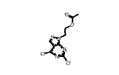 CC(=O)OCCn1ncc2c(Cl)nc(Cl)nc21